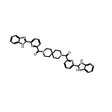 O=C(c1cccc(-c2nc3ccccc3[nH]2)n1)N1CCC2(CC1)CCN(C(=O)c1cccc(C3Nc4ccccc4N3)n1)CC2